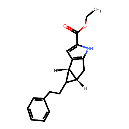 CCOC(=O)c1cc2c([nH]1)C[C@@H]1C(CCc3ccccc3)[C@H]21